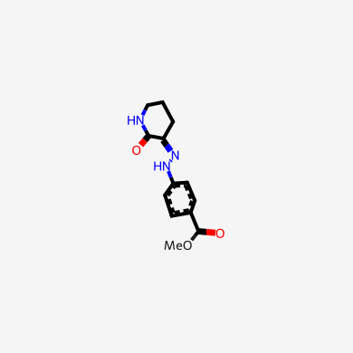 COC(=O)c1ccc(NN=C2CCCNC2=O)cc1